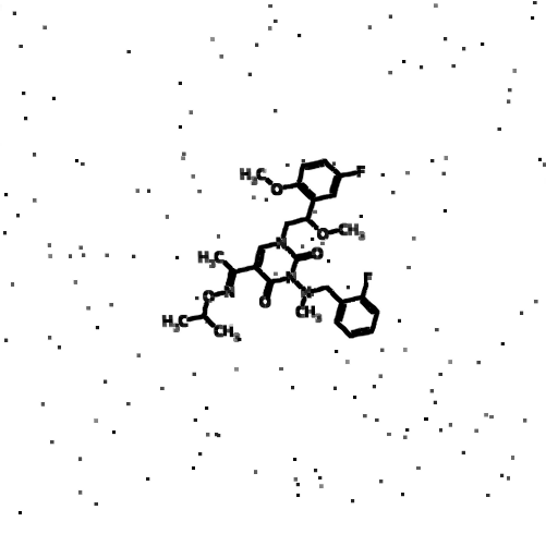 COc1ccc(F)cc1C(Cn1cc(/C(C)=N/OC(C)C)c(=O)n(N(C)Cc2ccccc2F)c1=O)OC